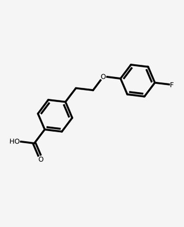 O=C(O)c1ccc(CCOc2ccc(F)cc2)cc1